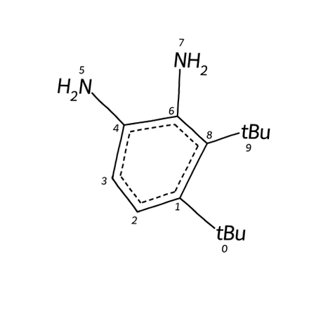 CC(C)(C)c1ccc(N)c(N)c1C(C)(C)C